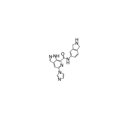 O=C(Nc1ccc2c(c1)CNC2)c1nc(-n2ccnc2)cc2cn[nH]c12